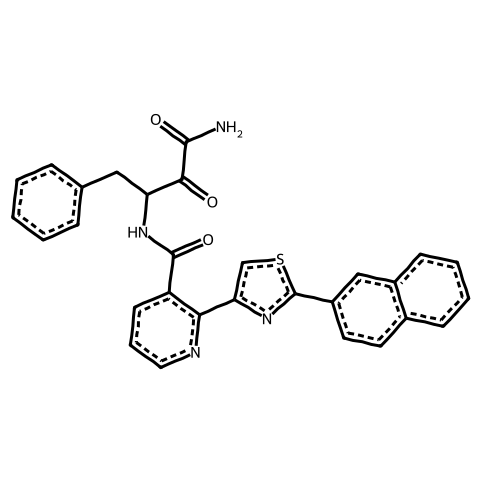 NC(=O)C(=O)C(Cc1ccccc1)NC(=O)c1cccnc1-c1csc(-c2ccc3ccccc3c2)n1